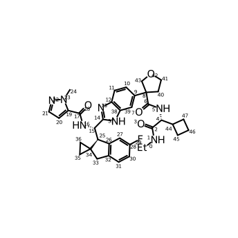 CCNC(=O)[C@H](NC(=O)C1(c2ccc3nc([C@@H](NC(=O)c4ccnn4C)[C@H]4c5cc(F)ccc5CC45CC5)[nH]c3c2)CCOC1)C1CCC1